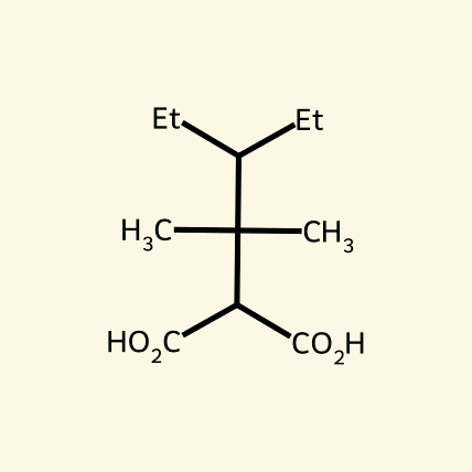 CCC(CC)C(C)(C)C(C(=O)O)C(=O)O